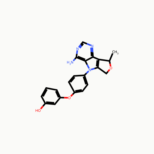 CC1OCc2c1c1ncnc(N)c1n2-c1ccc(Oc2cccc(O)c2)cc1